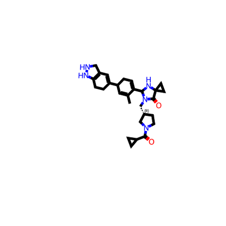 CC1=CC(C2=CC3=C(CC2)NNC3)CC=C1C1NC2(CC2)C(=O)N1C[C@@H]1CCN(C(=O)C2CC2)C1